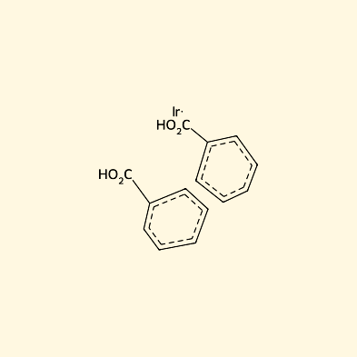 O=C(O)c1ccccc1.O=C(O)c1ccccc1.[Ir]